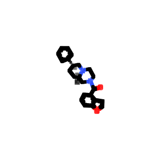 O=C(c1cccc2occc12)N1CCN2C[C@@H](c3ccccc3)CC[C@@H]2C1